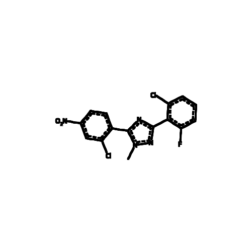 Cn1nc(-c2c(F)cccc2Cl)nc1-c1ccc([N+](=O)[O-])cc1Cl